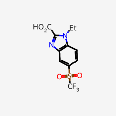 CCn1c(C(=O)O)nc2cc(S(=O)(=O)C(F)(F)F)ccc21